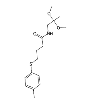 COC(C)(CNC(=O)CCCSc1ccc(C)cc1)OC